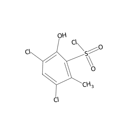 Cc1c(Cl)cc(Cl)c(O)c1S(=O)(=O)Cl